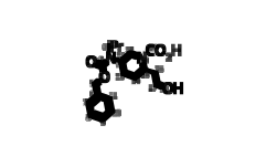 CC(C)N(C(=O)OCc1ccccc1)[C@@H]1CC[C@H](CCO)N(C(=O)O)C1